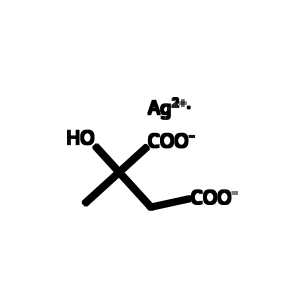 CC(O)(CC(=O)[O-])C(=O)[O-].[Ag+2]